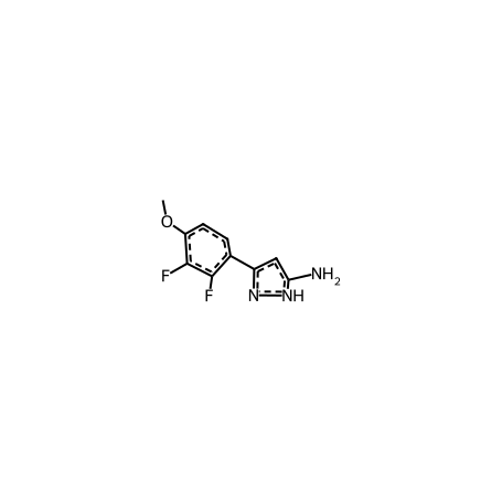 COc1ccc(-c2cc(N)[nH]n2)c(F)c1F